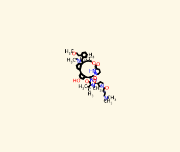 CCn1c(-c2ccccc2CCOC)c2c3cc(ccc31)-c1cc(O)cc(c1)C[C@H](NC(=O)C(C(C)C)N(C)C(=O)[C@H]1CCN(C(=O)/C=C/CN(C)C)C1)C(=O)N1CCC[C@H](N1)C(=O)OCC(C)(C)C2